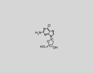 Nc1nc(Cl)c2ncn([C@H]3C[C@H](O)[C@@H](CO)O3)c2n1